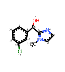 Cn1ccnc1C(O)c1cccc(Cl)c1